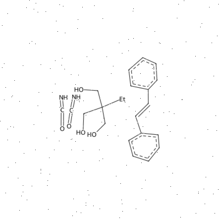 C(=Cc1ccccc1)c1ccccc1.CCC(CO)(CO)CO.N=C=O.N=C=O